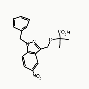 CC(C)(OCc1nn(Cc2ccccc2)c2ccc([N+](=O)[O-])cc12)C(=O)O